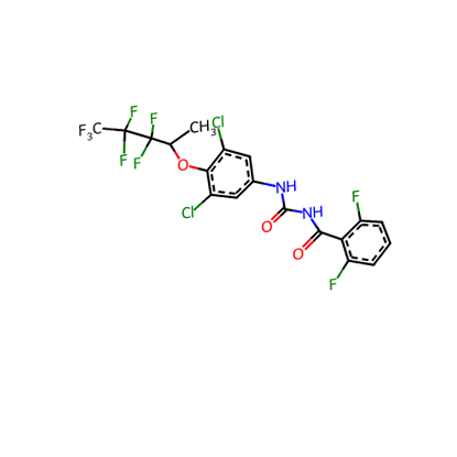 CC(Oc1c(Cl)cc(NC(=O)NC(=O)c2c(F)cccc2F)cc1Cl)C(F)(F)C(F)(F)C(F)(F)F